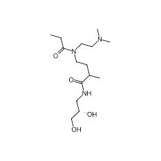 CCC(=O)N(CCC(C)C(=O)NC[C@H](O)CO)CCN(C)C